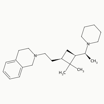 C[C@@H]([C@@H]1C[C@H](CCN2CCc3ccccc3C2)C1(C)C)N1CCCCC1